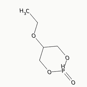 CCOC1CO[PH](=O)OC1